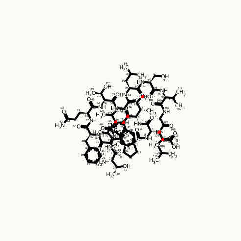 CC[C@H](C)[C@H](NC(=O)[C@H](CC(C)C)NC(=O)[C@@H]1CCCN1C(=O)[C@@H](NC(=O)[C@@H](N)[C@@H](C)O)C(C)C)C(=O)N[C@H](C(=O)N[C@@H](C)C(=O)N[C@@H](Cc1ccccc1)C(=O)N[C@@H](CCC(N)=O)C(=O)N[C@H](C(=O)N[C@@H](Cc1c[nH]c2ccccc12)C(=O)N[C@@H](CC(C)C)C(=O)N[C@@H](CO)C(=O)N[C@H](C(=O)NCC(=O)N[C@@H](CC(C)C)C(=O)O)C(C)C)[C@@H](C)O)C(C)C